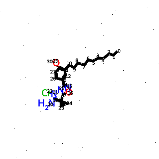 CCCCCCCCCCCc1cc(-c2noc(C3(C(N)=NCl)CC3)n2)ccc1OC